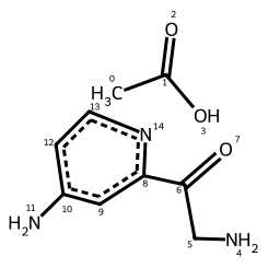 CC(=O)O.NCC(=O)c1cc(N)ccn1